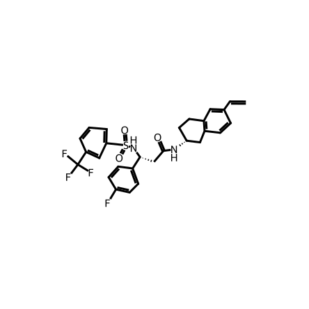 C=Cc1ccc2c(c1)CC[C@@H](NC(=O)C[C@@H](NS(=O)(=O)c1cccc(C(F)(F)F)c1)c1ccc(F)cc1)C2